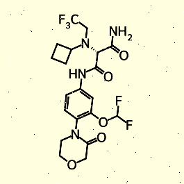 NC(=O)[C@H](C(=O)Nc1ccc(N2CCOCC2=O)c(OC(F)F)c1)N(CC(F)(F)F)C1CCC1